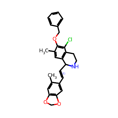 Cc1cc2c(cc1/C=C/C1NCCc3c1cc(C)c(OCc1ccccc1)c3Cl)OCO2